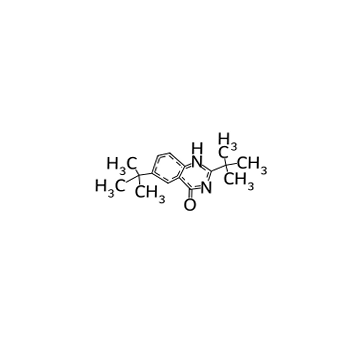 CC(C)(C)c1ccc2[nH]c(C(C)(C)C)nc(=O)c2c1